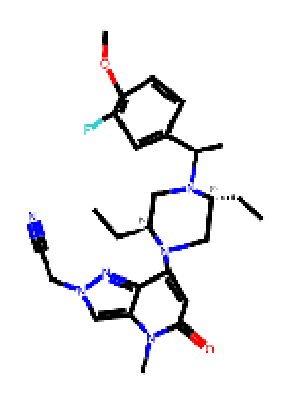 CC[C@H]1CN(C(C)c2ccc(OC)c(F)c2)[C@H](CC)CN1c1cc(=O)n(C)c2cn(CC#N)nc12